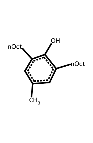 CCCCCCCCc1cc(C)cc(CCCCCCCC)c1O